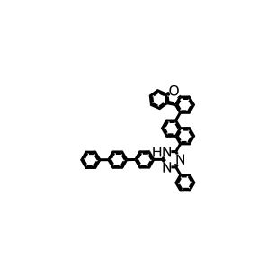 c1ccc(C2=NC(c3cccc4c(-c5cccc6oc7ccccc7c56)cccc34)NC(c3ccc(-c4ccc(-c5ccccc5)cc4)cc3)=N2)cc1